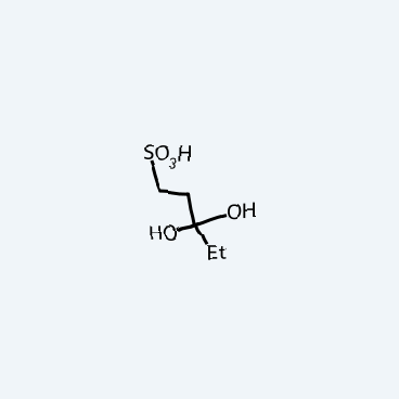 CCC(O)(O)CCS(=O)(=O)O